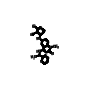 CC(Nc1cc(=O)n(C)c2ncc(Nc3ccnc(Cl)c3Cl)cc12)c1ncccn1